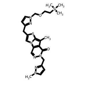 Cc1c2c(=O)n(Cc3ccn(C)n3)ncc2n2cc(Cc3ccn(COCC[Si](C)(C)C)n3)sc12